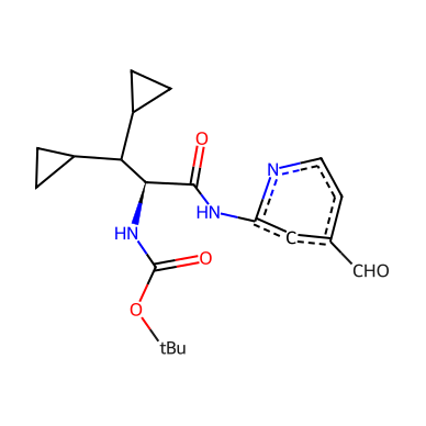 CC(C)(C)OC(=O)N[C@H](C(=O)Nc1cc(C=O)ccn1)C(C1CC1)C1CC1